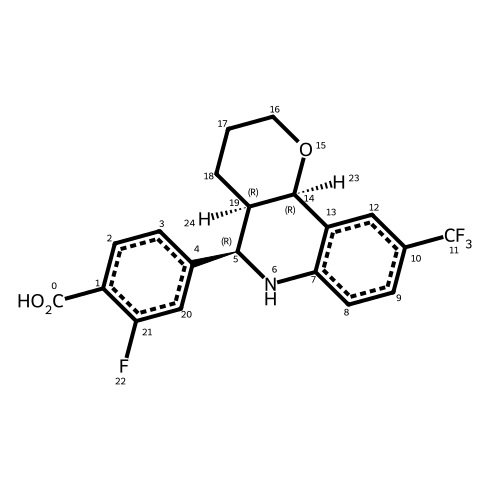 O=C(O)c1ccc([C@@H]2Nc3ccc(C(F)(F)F)cc3[C@@H]3OCCC[C@H]23)cc1F